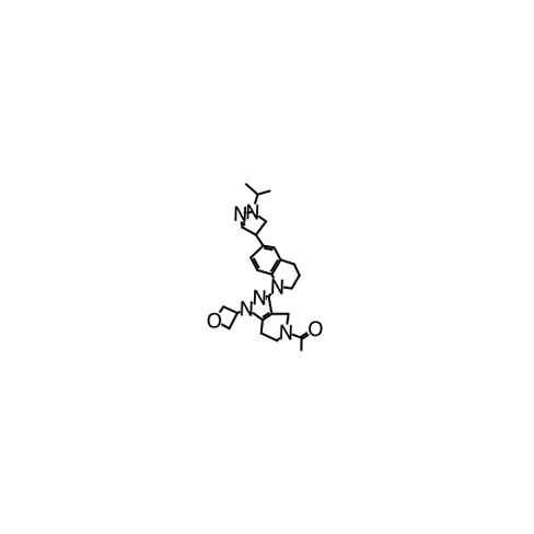 CC(=O)N1CCc2c(c(N3CCCc4cc(C5C=NN(C(C)C)C5)ccc43)nn2C2COC2)C1